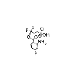 Nc1cc(F)ccc1C(=O)OC(CS(=O)(=O)O)C(F)(F)F